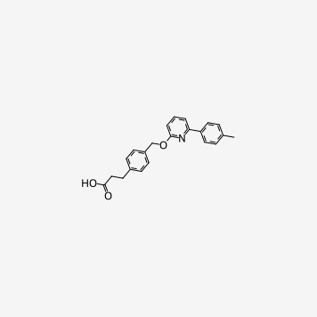 Cc1ccc(-c2cccc(OCc3ccc(CCC(=O)O)cc3)n2)cc1